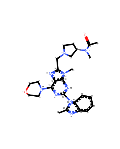 CC(=O)N(C)[C@@H]1CCN(Cc2nc3c(N4CCOCC4)nc(-n4c(C)nc5ccccc54)nc3n2C)C1